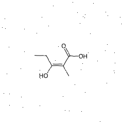 CCC(O)=C(C)C(=O)O